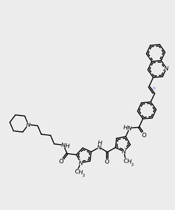 Cn1cc(NC(=O)c2cc(NC(=O)c3ccc(/C=C/c4cnc5ccccc5c4)cc3)cn2C)cc1C(=O)NCCCCN1CCCCC1